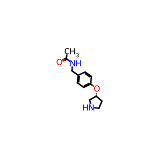 CC(=O)NCc1ccc(O[C@@H]2CCNC2)cc1